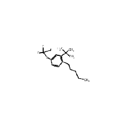 CCCCCc1ccc(SC(F)(F)F)cc1C(C)(C)C